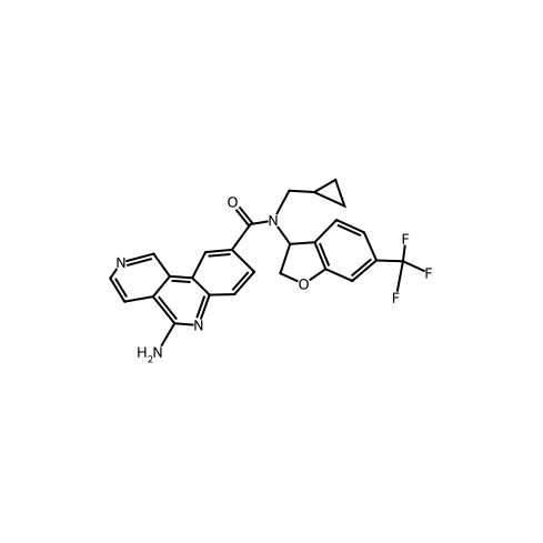 Nc1nc2ccc(C(=O)N(CC3CC3)C3COc4cc(C(F)(F)F)ccc43)cc2c2cnccc12